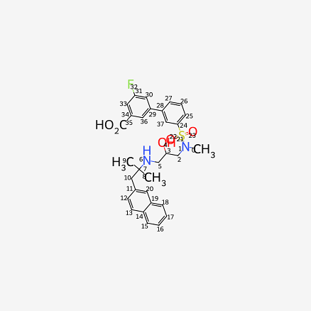 CN(CC(O)CNC(C)(C)Cc1ccc2ccccc2c1)S(=O)(=O)c1cccc(-c2cc(F)cc(C(=O)O)c2)c1